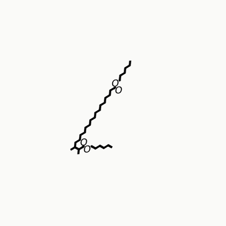 CCCCCCOC(=O)CCCCCCCCCCCCCCCC(C)C(C)C(=O)OCCCCCC